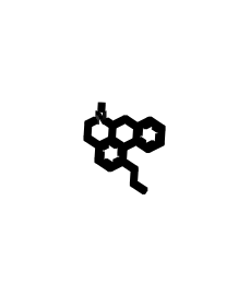 CCCc1ccc2c3c1-c1ccccc1CC3N(C)CC2